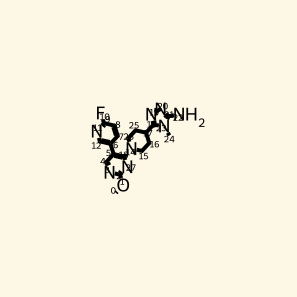 COc1ncc(-c2ccc(F)nc2)c(N2CCC(c3nnc(N)n3C)CC2)n1